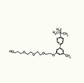 Cc1cc(OCCOCCOCCOCCCO)cc(-c2ccc(C(C)(C)C)cc2)c1